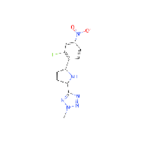 Cn1nnc(C2CCC(c3ccc([N+](=O)[O-])cc3F)N2)n1